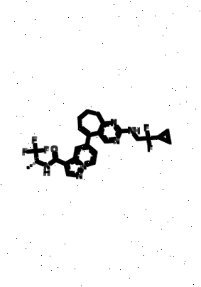 C[C@@H](NC(=O)c1cnn2ccc(C3=CCCCc4nc(NCC(F)(F)C5CC5)ncc43)cc12)C(F)(F)F